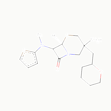 CC(=O)N(c1cccs1)C1C(=O)N2CC(CC3CCCCO3)(C(=O)O)CS[C@H]12